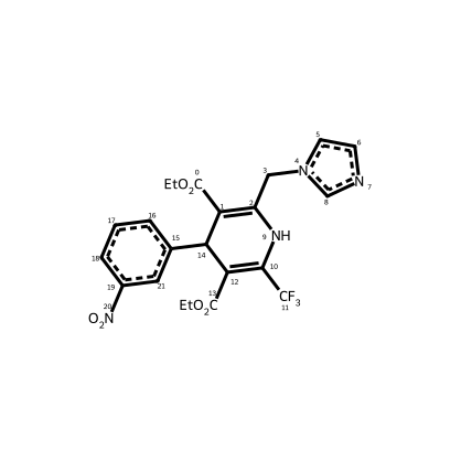 CCOC(=O)C1=C(Cn2ccnc2)NC(C(F)(F)F)=C(C(=O)OCC)C1c1cccc([N+](=O)[O-])c1